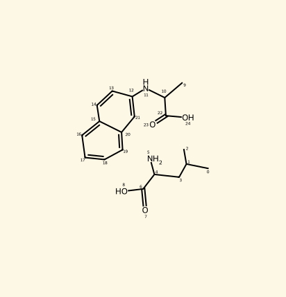 CC(C)CC(N)C(=O)O.CC(Nc1ccc2ccccc2c1)C(=O)O